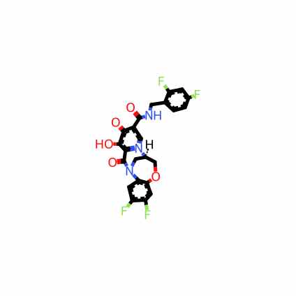 O=C(NCc1ccc(F)cc1F)c1cn2c(c(O)c1=O)C(=O)N1C[C@@H]2COc2cc(F)c(F)cc21